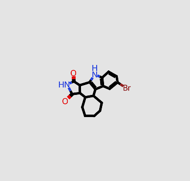 O=C1NC(=O)C2C1c1[nH]c3ccc(Br)cc3c1C1CCCCCC12